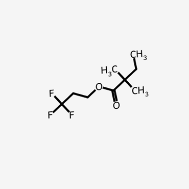 CCC(C)(C)C(=O)OCCC(F)(F)F